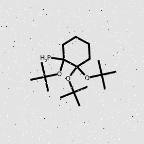 CC(C)(C)OC1(P)CCCCC1(OC(C)(C)C)OC(C)(C)C